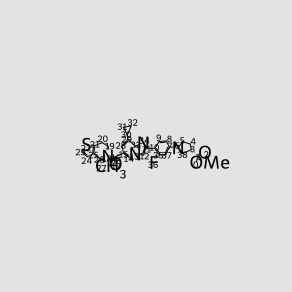 COC(=O)[C@H]1CCN(c2ccc(-c3cn4cc(C(=O)N5CCc6sccc6[C@H]5C)cc(C5CC5)c4n3)c(F)c2)C1